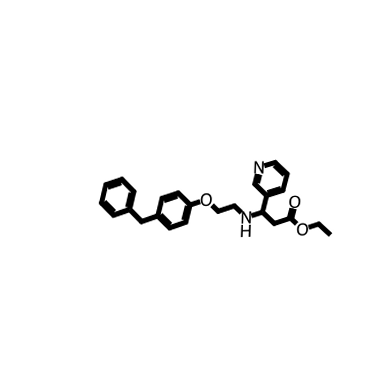 CCOC(=O)CC(NCCOc1ccc(Cc2ccccc2)cc1)c1cccnc1